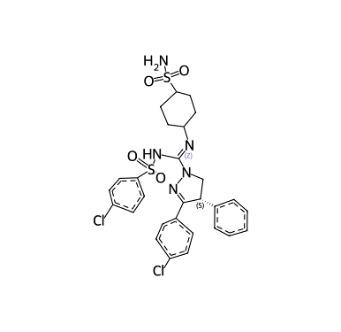 NS(=O)(=O)C1CCC(/N=C(\NS(=O)(=O)c2ccc(Cl)cc2)N2C[C@H](c3ccccc3)C(c3ccc(Cl)cc3)=N2)CC1